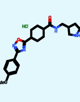 COc1ccc(-c2noc(C3CCC(C(=O)NCC4CCNC4)CC3)n2)cc1.Cl